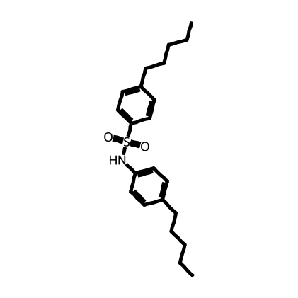 CCCCCc1ccc(NS(=O)(=O)c2ccc(CCCCC)cc2)cc1